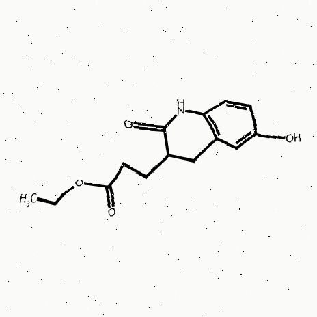 CCOC(=O)CCC1Cc2cc(O)ccc2NC1=O